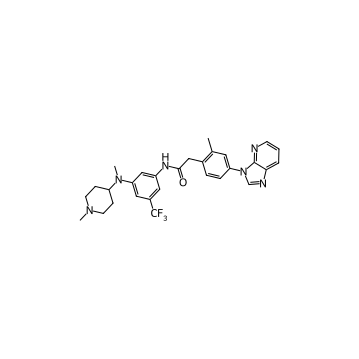 Cc1cc(-n2cnc3cccnc32)ccc1CC(=O)Nc1cc(N(C)C2CCN(C)CC2)cc(C(F)(F)F)c1